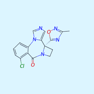 Cc1noc([C@]23CCN2C(=O)c2c(Cl)cccc2-n2cncc23)n1